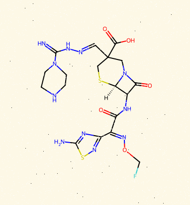 N=C(NN=CC1(C(=O)O)CS[C@@H]2C(NC(=O)C(=NOCF)c3nsc(N)n3)C(=O)N2C1)N1CCNCC1